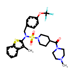 Cc1c(N(Cc2ccc(OC(F)(F)F)cc2)S(=O)(=O)N2CCC(C(=O)N3CCN(C)CC3)CC2)sc2ccccc12